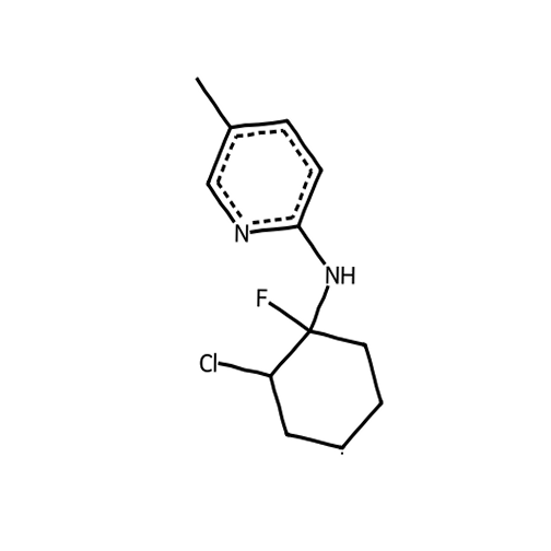 Cc1ccc(NC2(F)CC[CH]CC2Cl)nc1